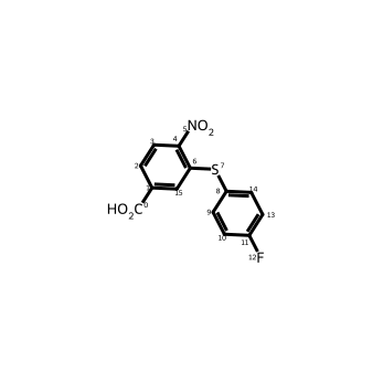 O=C(O)c1ccc([N+](=O)[O-])c(Sc2ccc(F)cc2)c1